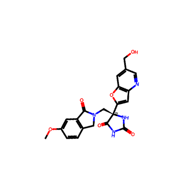 COc1ccc2c(c1)C(=O)N(C[C@@]1(c3cc4ncc(CO)cc4o3)NC(=O)NC1=O)C2